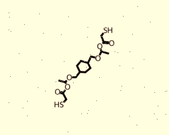 CC(OCC1CCC(COC(C)OC(=O)CS)CC1)OC(=O)CS